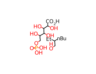 CCCCC(CC)CO.O=C(O)C(O)C(O)C(O)C(O)COP(=O)(O)O